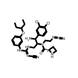 CCC(CC)Oc1cccc(N/C(=N/C#N)NCC(C(N)c2ccc(Cl)c(Cl)c2)N(CCN=[N+]=[N-])C(=O)[C@H]2CCN2)c1